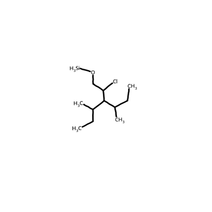 CCC(C)C(C(C)CC)C(Cl)CO[SiH3]